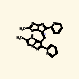 Cc1nc2/c(=C\c3c(-c4ccccn4)nn4nc(C)[nH]c34)c(-c3ccccn3)nn2n1